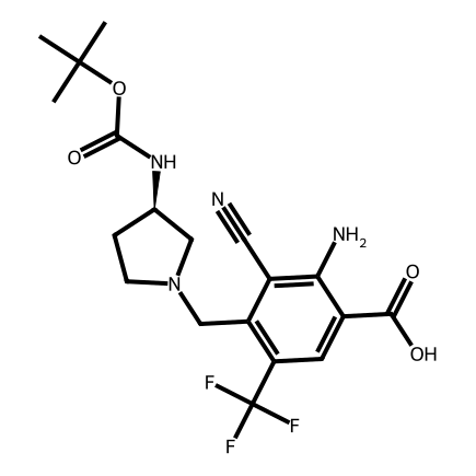 CC(C)(C)OC(=O)N[C@@H]1CCN(Cc2c(C(F)(F)F)cc(C(=O)O)c(N)c2C#N)C1